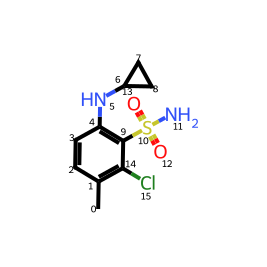 Cc1ccc(NC2CC2)c(S(N)(=O)=O)c1Cl